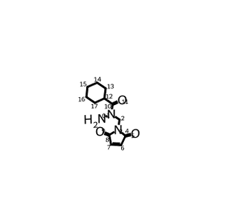 NN(CN1C(=O)C=CC1=O)C(=O)C1CCCCC1